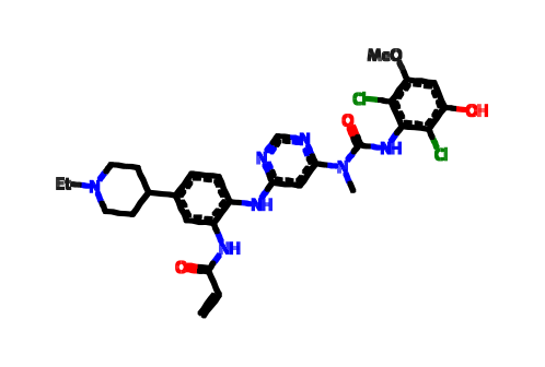 C=CC(=O)Nc1cc(C2CCN(CC)CC2)ccc1Nc1cc(N(C)C(=O)Nc2c(Cl)c(O)cc(OC)c2Cl)ncn1